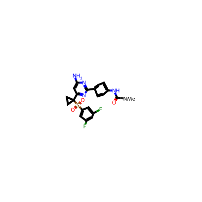 CNC(=O)Nc1ccc(-c2nc(N)cc(C3(S(=O)(=O)c4cc(F)cc(F)c4)CC3)n2)cc1